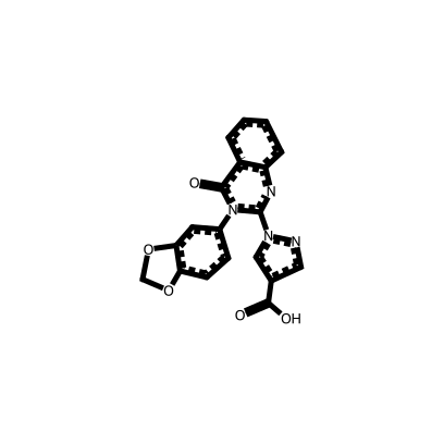 O=C(O)c1cnn(-c2nc3ccccc3c(=O)n2-c2ccc3c(c2)OCO3)c1